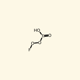 [O]=[Ti]([OH])[O]OF